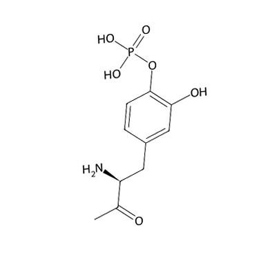 CC(=O)[C@@H](N)Cc1ccc(OP(=O)(O)O)c(O)c1